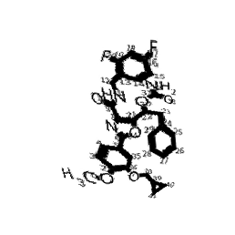 COc1ccc(-c2nc(C(=O)NCc3ccc(F)cc3F)c(C(Cc3ccccc3)OC(N)=O)o2)cc1OCC1CC1